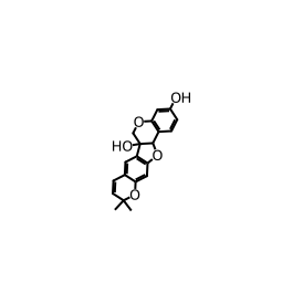 CC1(C)C=Cc2cc3c(cc2O1)OC1c2ccc(O)cc2OCC31O